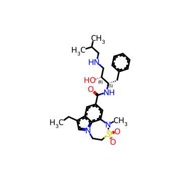 CCc1cn2c3c(cc(C(=O)N[C@@H](Cc4ccccc4)[C@H](O)CNCC(C)C)cc13)N(C)S(=O)(=O)CC2